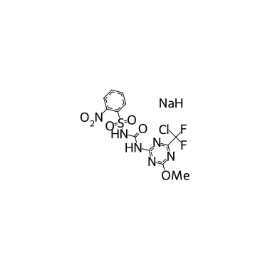 COc1nc(NC(=O)NS(=O)(=O)c2ccccc2[N+](=O)[O-])nc(C(F)(F)Cl)n1.[NaH]